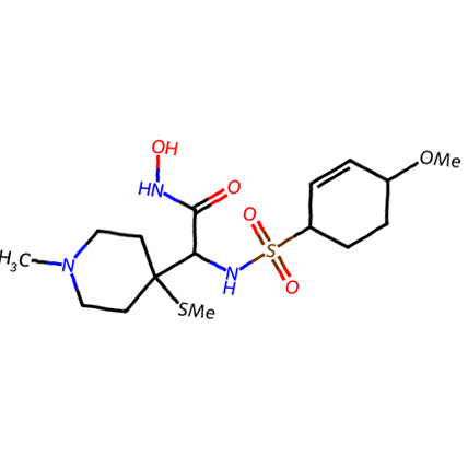 COC1C=CC(S(=O)(=O)NC(C(=O)NO)C2(SC)CCN(C)CC2)CC1